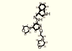 C(=N/Nc1cc(N2CCOCC2)cc(OCCN2CCOCC2)n1)/c1c[nH]c2ccccc12